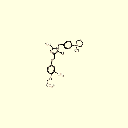 CCCCc1nc(CSc2ccc(OCC(=O)O)c(C)c2)c(Cl)n1Cc1ccc(C2(C#N)CCCC2)cc1